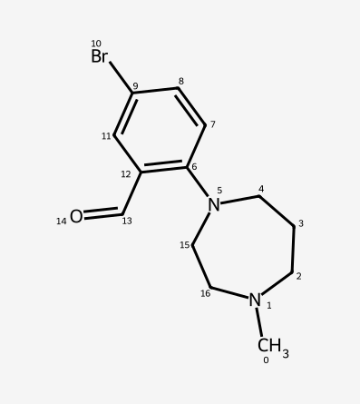 CN1CCCN(c2ccc(Br)cc2C=O)CC1